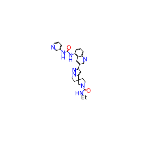 CCNC(=O)N1CCC2(CCn3nc(-c4cnc5cccc(NC(=O)Nc6cccnc6)c5c4)cc32)C1